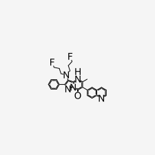 Cc1[nH]c2c(N(CCCF)CCCF)c(-c3ccccc3)nn2c(=O)c1-c1ccc2ncccc2c1